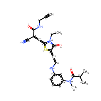 C#CCNC(=O)C(=C=c1sc(=C=CNc2cccc(N(C)C(=O)C(C)C)c2)c(=O)n1CC)C#N